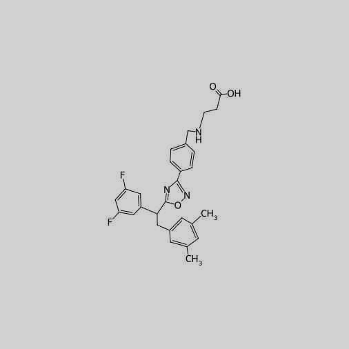 Cc1cc(C)cc(CC(c2cc(F)cc(F)c2)c2nc(-c3ccc(CNCCC(=O)O)cc3)no2)c1